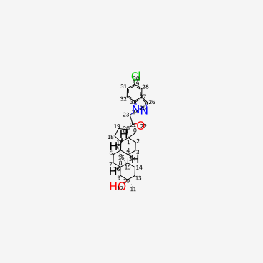 CC12CC[C@H]3[C@@H](CC[C@H]4C[C@](C)(O)CC[C@@]43C)[C@@H]1CC[C@@H]2C(=O)Cn1ncc2cc(Cl)ccc21